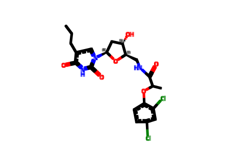 CCCc1cn([C@H]2C[C@H](O)[C@@H](CNC(=O)C(C)Oc3ccc(Cl)cc3Cl)O2)c(=O)[nH]c1=O